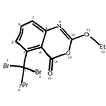 CCCC(Br)(Br)c1cccc2nc(OCC)oc(=O)c12